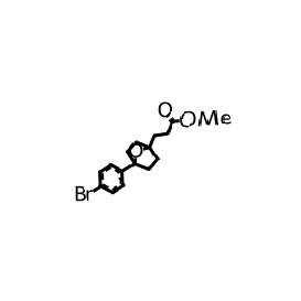 COC(=O)CCC12CCC(c3ccc(Br)cc3)(CC1)O2